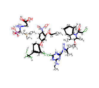 CCNc1nc(Cl)nc(NC(C)C)n1.CCOc1cc(Oc2ccc(C(F)(F)F)cc2Cl)ccc1[N+](=O)[O-].CCc1cccc(C)c1N(C(=O)CCl)C(C)COC.C[S+](C)C.O=C(O)CNCP(=O)([O-])O